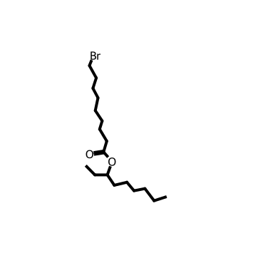 CCCCCCC(CC)OC(=O)CCCCCCCCBr